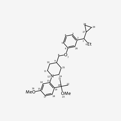 CCC(c1cccc(OCC2CCN(c3cc(OC)ccc3C(C)(C)OC)CC2)c1)C1CC1